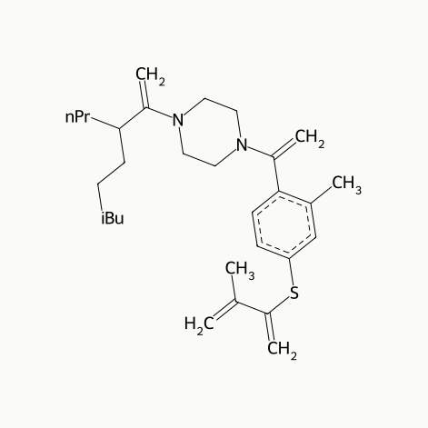 C=C(C)C(=C)Sc1ccc(C(=C)N2CCN(C(=C)C(CCC)CCC(C)CC)CC2)c(C)c1